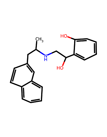 CC(Cc1ccc2ccccc2c1)NCC(O)c1ccccc1O